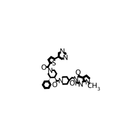 Cn1ccc2c(=O)n(CC3(O)CCN(C(=O)[C@@H]4CCN(C(=O)c5ccc(-c6cncnc6)s5)C[C@H]4c4ccccc4)CC3)cnc21